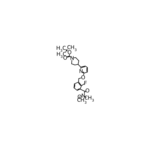 CON(C)C(=O)c1cccc(COc2cccc(C3CCN(C(=O)OC(C)(C)C)CC3)n2)c1F